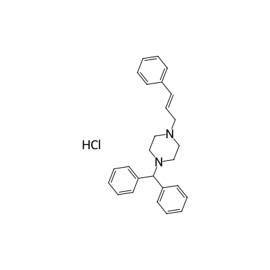 C(=C\c1ccccc1)/CN1CCN(C(c2ccccc2)c2ccccc2)CC1.Cl